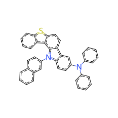 c1ccc(N(c2ccccc2)c2ccc3c(c2)c2ccc4sc5ccccc5c4c2n3-c2ccc3ccccc3c2)cc1